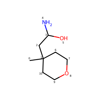 CC1(CC(N)O)CCOCC1